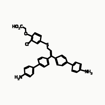 Nc1ccc(-c2ccc(C(=CCSc3ccc(OCC(=O)O)c(Cl)c3)c3ccc(-c4ccc(N)cc4)cc3)cc2)cc1